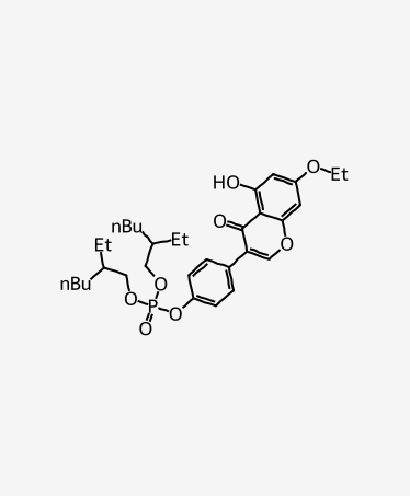 CCCCC(CC)COP(=O)(OCC(CC)CCCC)Oc1ccc(-c2coc3cc(OCC)cc(O)c3c2=O)cc1